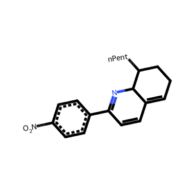 CCCCCC1CCC=C2C=CC(c3ccc([N+](=O)[O-])cc3)=NC21